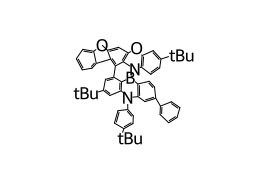 CC(C)(C)c1ccc(N2c3cc(-c4ccccc4)ccc3B3c4c(cc(C(C)(C)C)cc42)-c2c4c(cc5oc6ccccc6c25)Oc2cc(C(C)(C)C)ccc2N34)cc1